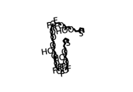 OC(COCCOCOCC(F)(F)OC(F)(F)COCC(O)COCCc1cccs1)COCCOCC(F)(F)OC(F)(F)OC(F)(F)COCC(O)COCCc1cccs1